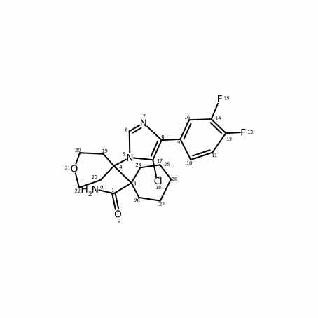 NC(=O)C1(C2(n3cnc(-c4ccc(F)c(F)c4)c3Cl)CCOCC2)CCCCC1